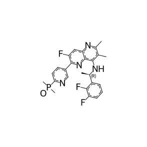 Cc1nc2cc(F)c(-c3ccc(P(C)(C)=O)nc3)nc2c(N[C@H](C)c2cccc(F)c2F)c1C